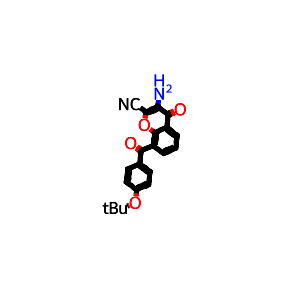 CC(C)(C)Oc1ccc(C(=O)c2cccc3c(=O)c(N)c(C#N)oc23)cc1